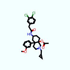 COc1cccc(C23CCN(CC4CC4)CC2(OC(C)=O)CCC(NC(=O)Cc2ccc(Cl)c(Cl)c2)C3)c1